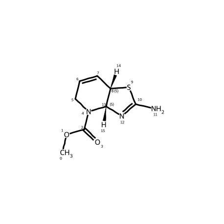 COC(=O)N1CC=C[C@@H]2SC(N)=N[C@@H]21